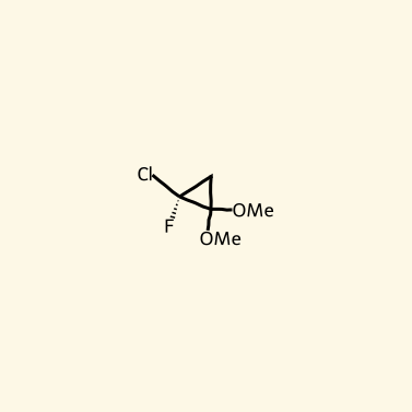 COC1(OC)C[C@]1(F)Cl